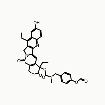 CCc1c2c(nc3ccc(O)cc13)/C(=C/C1=C(C)COC(=O)C1(CC)OC(=O)N(C)Cc1ccc(OC=O)cc1)N(C=O)C2